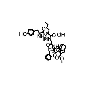 CCCC[C@@H](NC(=O)[C@@H](N)Cc1ccc(O)cc1)C(=O)NCC(=O)N[C@@H](Cc1ccccc1)C(=O)C1C2(N)CC3CC(C2)CC1(C(=O)OC)C3.Cl